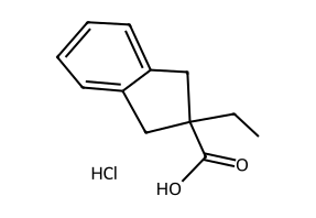 CCC1(C(=O)O)Cc2ccccc2C1.Cl